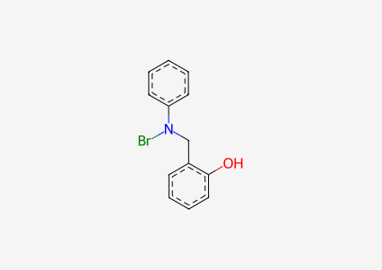 Oc1ccccc1CN(Br)c1ccccc1